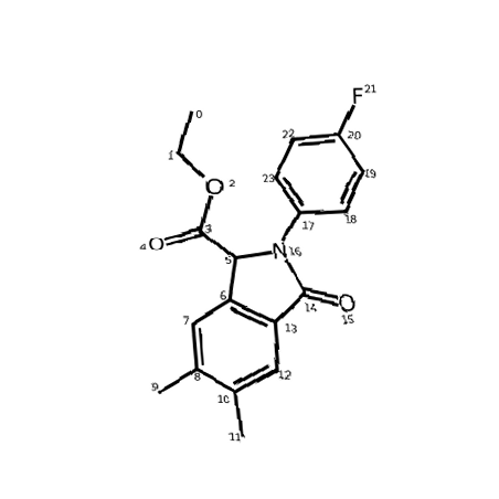 CCOC(=O)C1c2cc(C)c(C)cc2C(=O)N1c1ccc(F)cc1